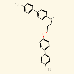 CCC(CCCOc1ccc(-c2ccc(C#N)cc2)cc1)c1ccc(-c2ccc(C#N)cc2)cc1